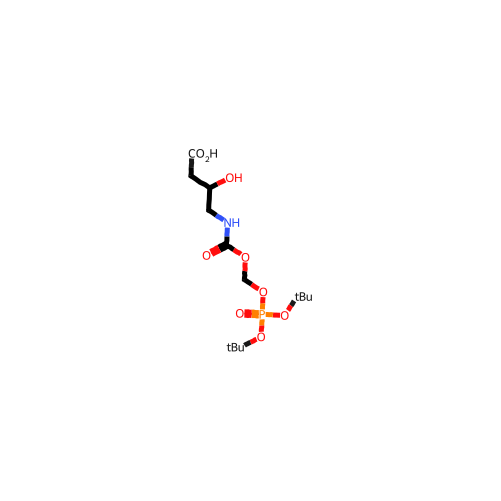 CC(C)(C)OP(=O)(OCOC(=O)NCC(O)CC(=O)O)OC(C)(C)C